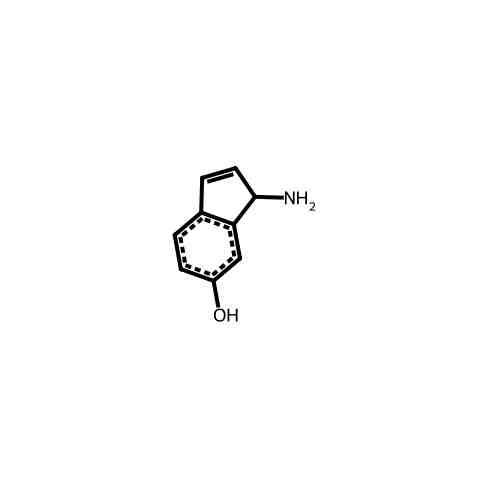 NC1C=Cc2ccc(O)cc21